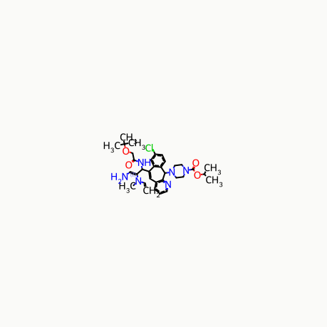 C=CN(C)/C(=C\N)C(NC(=O)COC(C)(C)C)C1=Cc2cccnc2C(N2CCN(C(=O)OC(C)C)CC2)c2ccc(Cl)cc21